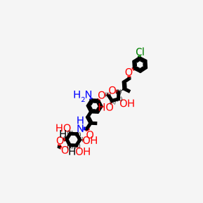 CC(=Cc1ccc(O[C@@H]2O[C@H](C(C)=CCOc3cccc(Cl)c3)[C@H](O)[C@H]2O)c(N)c1)C(=O)N[C@@H]1[C@H](O)[C@@H](O)[C@H]2OCO[C@H]2[C@@H]1O